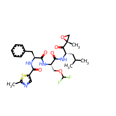 Cc1ncc(C(=O)N[C@@H](Cc2ccccc2)C(=O)N[C@@H](COC(F)F)C(=O)N[C@@H](CC(C)C)C(=O)[C@@]2(C)CO2)s1